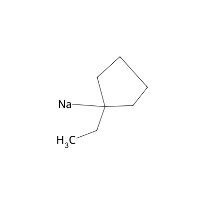 CC[C]1([Na])CCCC1